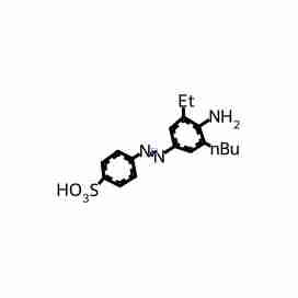 CCCCc1cc(/N=N/c2ccc(S(=O)(=O)O)cc2)cc(CC)c1N